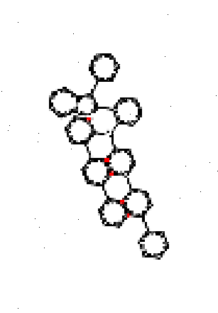 c1ccc(-c2ccc(-c3ccc(N(c4ccccc4-c4ccc(-c5ccccc5)cc4)c4ccccc4-c4oc5ccccc5c4-c4ccccc4)cc3)cc2)cc1